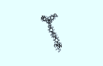 CCC(C)n1ncn(-c2ccc(N3CCN(c4ccc(OC[C@@H]5CO[C@](Cc6ccnnc6)(c6ccc(OC)cc6)O5)cc4)CC3)cc2)c1=O